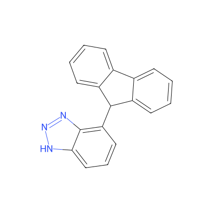 c1ccc2c(c1)-c1ccccc1C2c1cccc2[nH]nnc12